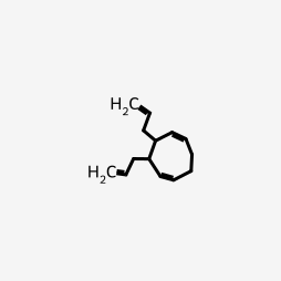 C=CCC1C=CCCC=CC1CC=C